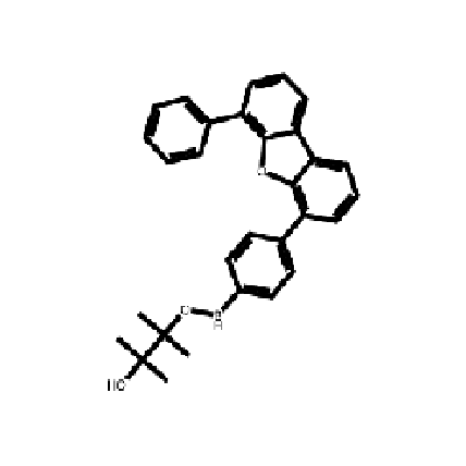 CC(C)(O)C(C)(C)OBc1ccc(-c2cccc3c2oc2c(-c4ccccc4)cccc23)cc1